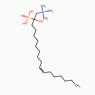 CCCCCC/C=C\CCCCCCCCC(O)(C[N+](C)(C)C)P(=O)(O)O